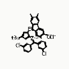 CCC1C=C(C(C)(C)C)C=[C]1[Zr+2](=[C](c1cccc(Cl)c1)c1cccc(Cl)c1)[c]1c(C)c(C)cc2c1Cc1cc(C)c(C)cc1-2.[Cl-].[Cl-]